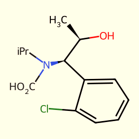 CC(C)N(C(=O)O)[C@H](c1ccccc1Cl)[C@@H](C)O